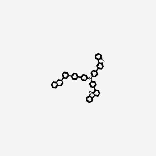 c1cc(-c2ccc(-c3ccc(N(c4ccc(-c5ccc6sc7ccccc7c6c5)cc4)c4ccc(-c5cccc6c5sc5ccccc56)cc4)cc3)cc2)cc(-c2ccc3ccccc3c2)c1